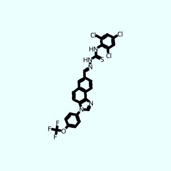 FC(F)(F)Oc1ccc(-n2cnc3c4ccc(C=NNC(=S)Nc5c(Cl)cc(Cl)cc5Cl)cc4ccc32)cc1